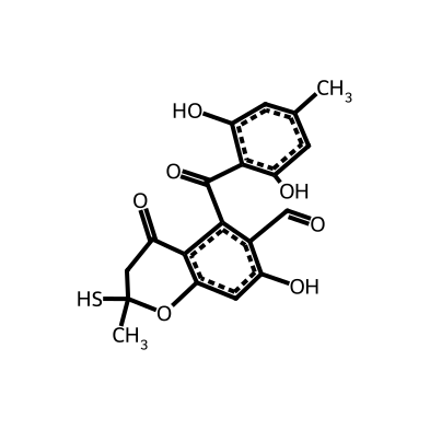 Cc1cc(O)c(C(=O)c2c(C=O)c(O)cc3c2C(=O)CC(C)(S)O3)c(O)c1